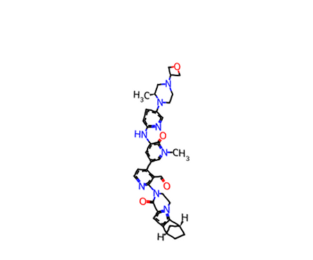 C[C@H]1CN(C2COC2)CCN1c1ccc(Nc2cc(-c3ccnc(N4CCn5c(cc6c5[C@@H]5CC[C@H]6C5)C4=O)c3C=O)cn(C)c2=O)nc1